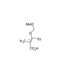 CC/C(OCOC)=C(/C)C(=O)O